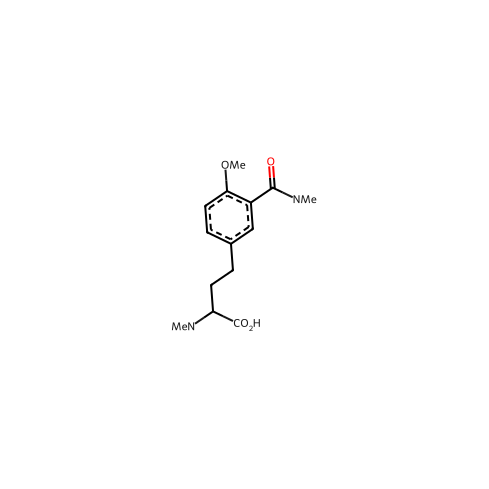 CNC(=O)c1cc(CCC(NC)C(=O)O)ccc1OC